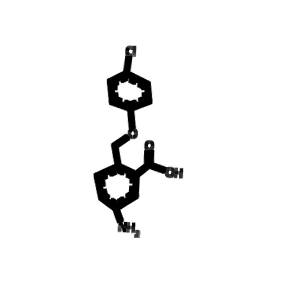 Nc1ccc(COc2ccc(Cl)cc2)c(C(=O)O)c1